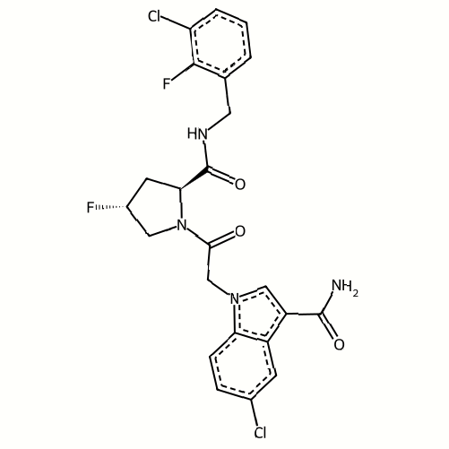 NC(=O)c1cn(CC(=O)N2C[C@H](F)C[C@H]2C(=O)NCc2cccc(Cl)c2F)c2ccc(Cl)cc12